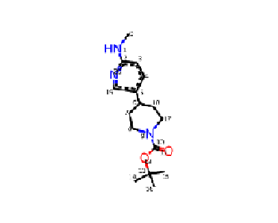 CNc1ccc(C2CCN(C(=O)OC(C)(C)C)CC2)cn1